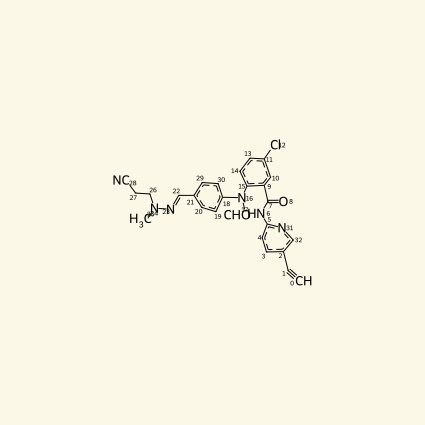 C#Cc1ccc(NC(=O)c2cc(Cl)ccc2N(C=O)c2ccc(C=NN(C)CCC#N)cc2)nc1